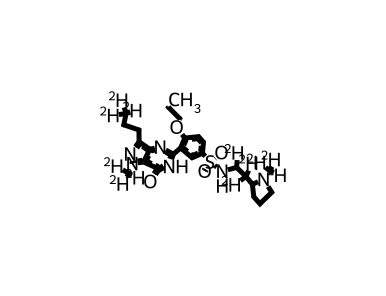 [2H]C(NS(=O)(=O)c1ccc(OCCC)c(-c2nc3c(CCC([2H])([2H])[2H])nn(C([2H])([2H])[2H])c3c(=O)[nH]2)c1)C([2H])([2H])C1CCCN1C([2H])([2H])[2H]